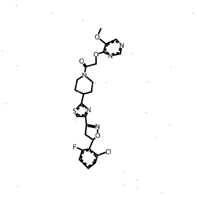 COc1cncnc1OCC(=O)N1CCC(c2nc(C3=NOC(c4c(F)cccc4Cl)C3)cs2)CC1